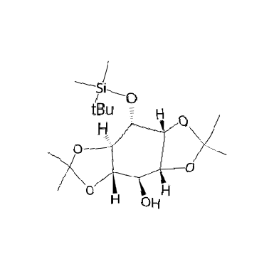 CC1(C)O[C@H]2[C@@H](O[Si](C)(C)C(C)(C)C)[C@@H]3OC(C)(C)O[C@H]3[C@H](O)[C@H]2O1